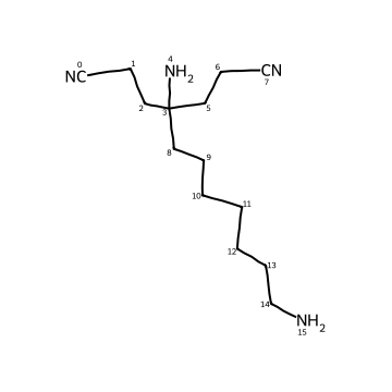 N#CCCC(N)(CCC#N)CCCCCCCN